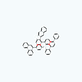 c1ccc(-c2ccc(-c3ccccc3N(c3ccc(-c4cc5ccccc5c5ccccc45)cc3)c3ccccc3-c3cccc4oc5cc6ccccc6cc5c34)cc2)cc1